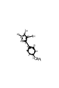 Oc1ccc(-c2nn(I)c(I)c2I)cc1